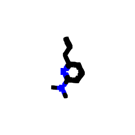 C=CCc1cccc(N(C)C)n1